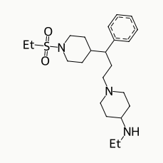 CCNC1CCN(CCC(c2ccccc2)C2CCN(S(=O)(=O)CC)CC2)CC1